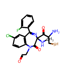 CNC1(C(=O)C(N)CS)N=C(c2ccccc2F)c2cc(Cl)ccc2N(C[C]=O)C1=O